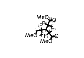 COCC(F)(F)C(C(F)(F)C(=O)OC)C(F)(F)C(=O)OC